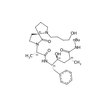 CCCCNC(=O)[C@H](C)C[C@H](O)[C@H](Cc1ccccc1)NC(=O)[C@H](C)N1CC[C@]2(CCCN2CCCCO)C1=O